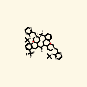 CC(C)(C)Oc1nccnc1CN1CCC(C(Cc2c(F)cccc2C(F)(F)F)C(=O)C(Cc2c(F)cccc2C(F)(F)F)C2CCN(Cc3nccnc3OC(C)(C)C)CC2)CC1